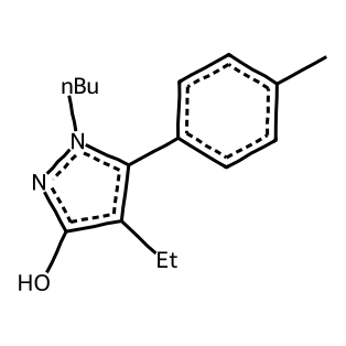 CCCCn1nc(O)c(CC)c1-c1ccc(C)cc1